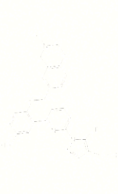 Cc1ccc(OCc2ccc3c(c2)CN(C)CC3)c(-c2cccc(-n3ncc(C(=O)O)c3C(F)(F)F)n2)c1